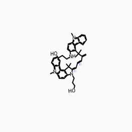 C=C(/C=C/C=C1/N(CCCO)c2ccc3c(c2C1(C)C)c1ccccc1n3C)C(C)(C)c1c(NCCCO)ccc2c1c1ccccc1n2C